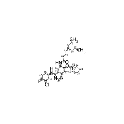 CCCN(C/C=C/C(=O)Nc1cc2c(Nc3ccc(F)c(Cl)c3)ncnc2cc1OC1CC2CCC(C1)O2)CCC